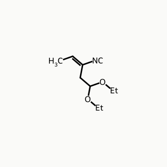 [C-]#[N+]/C(=C/C)CC(OCC)OCC